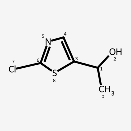 CC(O)c1cnc(Cl)s1